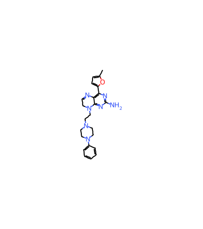 Cc1ccc(-c2nc(N)nc3c2N=CCN3CCN2CCN(c3ccccc3)CC2)o1